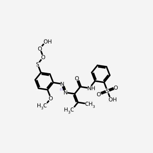 COc1ccc(SOOO)cc1/N=N/C(C(=O)Nc1ccccc1S(=O)(=O)O)=C(C)C